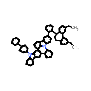 CCc1ccc2c(c1)-c1cc(CC)ccc1C(c1ccccc1-c1ccc3c(c1)c1ccccc1n3-c1ccccc1-c1ccc3c(c1)c1ccccc1n3-c1ccc(-c3ccccc3)cc1)CC2